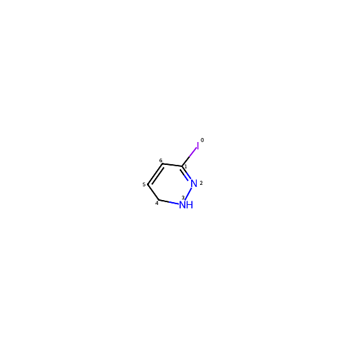 IC1=NNCC=C1